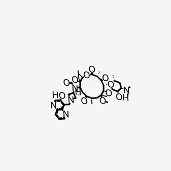 CO[C@]1(C)C[C@@H](C)C(=O)[C@H](C)[C@H]2N(C3CN(Cc4c(O)cnc5cccnc45)C3)C(=O)O[C@]2(C)[C@@H](I)OC(=O)[C@H](C)C(=O)[C@H](C)[C@H]1O[C@@H]1O[C@H](C)C[C@H](N(C)C)[C@H]1O